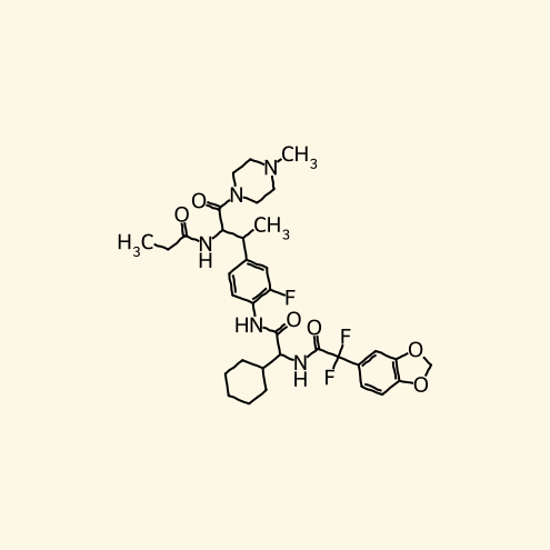 CCC(=O)NC(C(=O)N1CCN(C)CC1)C(C)c1ccc(NC(=O)C(NC(=O)C(F)(F)c2ccc3c(c2)OCO3)C2CCCCC2)c(F)c1